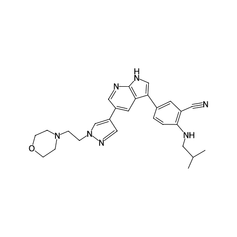 CC(C)CNc1ccc(-c2c[nH]c3ncc(-c4cnn(CCN5CCOCC5)c4)cc23)cc1C#N